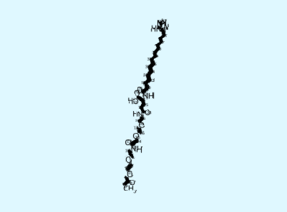 CCC(=O)COCCOCCNC(=O)COCCOCCNC(=O)CCC(NC(=O)CCCCCCCCCCCCCCCc1nnn[nH]1)C(=O)O